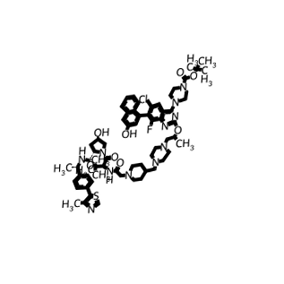 Cc1ncsc1-c1ccc([C@H](C)NC(=O)[C@@H]2C[C@@H](O)CN2C(=O)C(NC(=O)CN2CCC(CN3CCN(CC(C)Oc4nc(N5CCN(C(=O)OC(C)(C)C)CC5)c5cc(Cl)c(-c6cc(O)cc7ccccc67)c(F)c5n4)CC3)CC2)C(C)(C)C)cc1